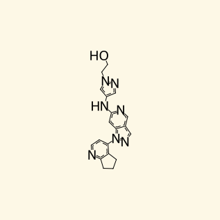 OCCn1cc(Nc2cc3c(cn2)cnn3-c2ccnc3c2CCC3)cn1